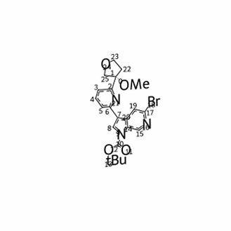 CO[C@@]1(c2cccc(-c3cn(C(=O)OC(C)(C)C)c4cnc(Br)cc34)n2)CCOC1